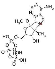 CO[C@@]1(c2ccc3c(N)ncnn23)O[C@H](COP(=O)(O)OP(=O)(O)OP(=O)(O)O)[C@@H](O)[C@@]1(C)C#N